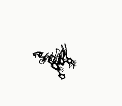 CN(Cc1cc(C2CCCC2)cc(-c2cc(-c3cc(C(F)(F)F)ccc3Cl)c(C#N)c(=O)[nH]2)c1O)C(=O)CCN1CCCC1